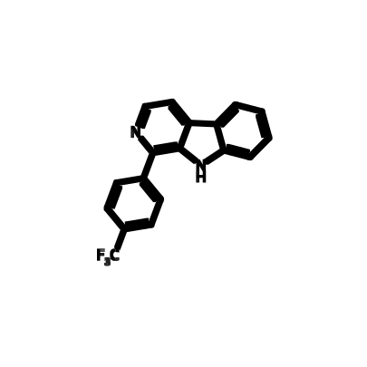 FC(F)(F)c1ccc(-c2nccc3c2[nH]c2ccccc23)cc1